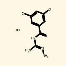 Cl.NN=C(N)NC(=O)c1cc(Cl)cc(Cl)c1